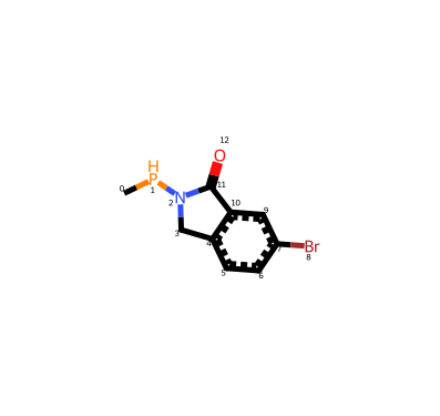 CPN1Cc2ccc(Br)cc2C1=O